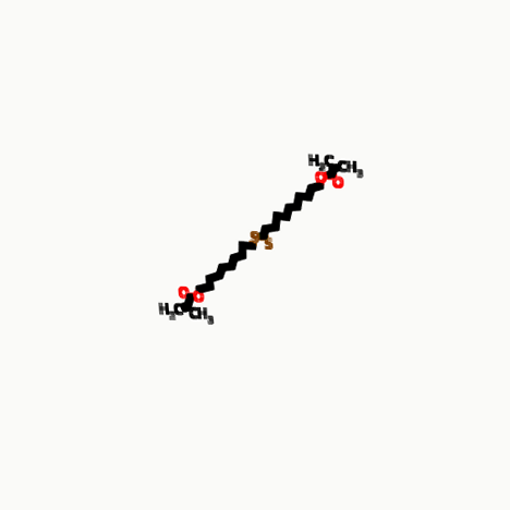 C=C(C)C(=O)OCCCCCCCCCCSC(=S)CCCCCCCCCCOC(=O)C(=C)C